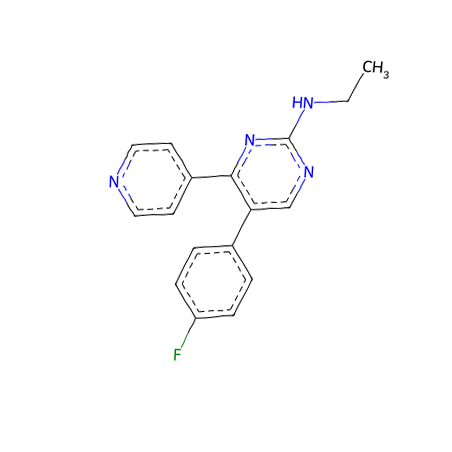 CCNc1ncc(-c2ccc(F)cc2)c(-c2ccncc2)n1